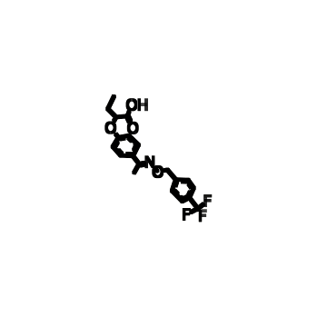 CCC(Oc1ccc(C(C)=NOCc2ccc(C(F)(F)F)cc2)cc1)C(=O)O